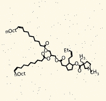 CC/C=C\CC1C(CC(=O)OCC(COC(=O)CCCCCCC/C=C\CCCCCCCC)OC(=O)CCCCCCC/C=C\CCCCCCCC)CCC1OC(=O)C1(C)CCN(C)C1